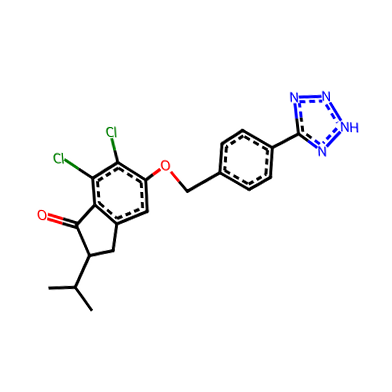 CC(C)C1Cc2cc(OCc3ccc(-c4nn[nH]n4)cc3)c(Cl)c(Cl)c2C1=O